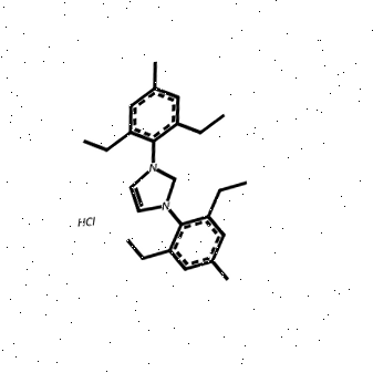 CCc1cc(C)cc(CC)c1N1C=CN(c2c(CC)cc(C)cc2CC)C1.Cl